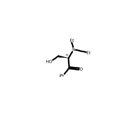 CCN(CC)[C@H](CO)C(=O)C(C)C